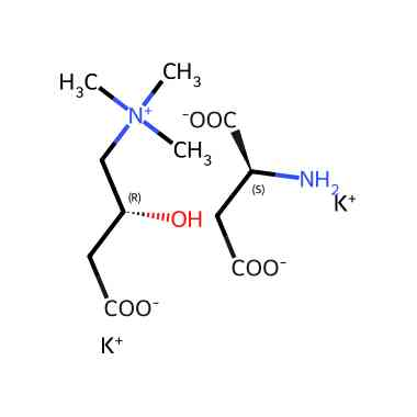 C[N+](C)(C)C[C@H](O)CC(=O)[O-].N[C@@H](CC(=O)[O-])C(=O)[O-].[K+].[K+]